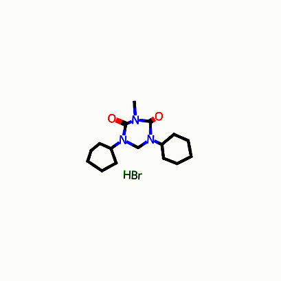 Br.CN1C(=O)N(C2CCCCC2)CN(C2CCCCC2)C1=O